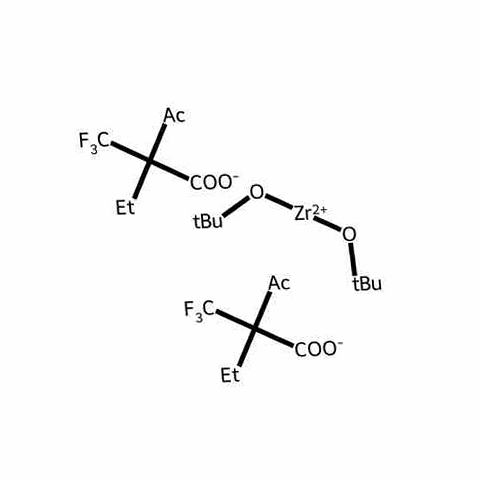 CC(C)(C)[O][Zr+2][O]C(C)(C)C.CCC(C(C)=O)(C(=O)[O-])C(F)(F)F.CCC(C(C)=O)(C(=O)[O-])C(F)(F)F